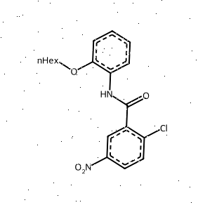 CCCCCCOc1ccccc1NC(=O)c1cc([N+](=O)[O-])ccc1Cl